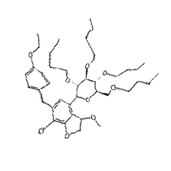 CCCCOC[C@H]1OC(c2cc(Cc3ccc(OCC)cc3)c(Cl)c3c2C(OC)CO3)[C@H](OCCCC)[C@@H](OCCCC)[C@@H]1OCCCC